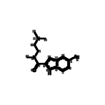 CC(=O)c1ccc2[nH]c(C(=O)N(C)CCN(C)C)cc2c1